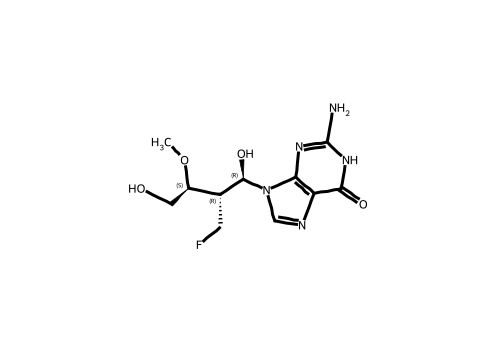 CO[C@H](CO)[C@@H](CF)[C@@H](O)n1cnc2c(=O)[nH]c(N)nc21